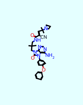 CC(C)(CNC(=O)/C(C#N)=C/C(C)(C)N1CCC1)Cn1c(=O)n(-c2ccc(Oc3ccccc3)cc2)c2c(N)ncnc21